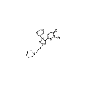 CC(C)n1nc(-c2cc(OCCN3CCOCC3)nn2-c2ccccc2)ccc1=O